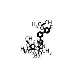 C#C[C@H](C)Oc1cc(F)ccc1-c1cccc(-c2cc3nc(C)c(C(OC(C)(C)C)C(=O)O)c(N4CCC(C)(OCC=C)CC4)n3n2)c1